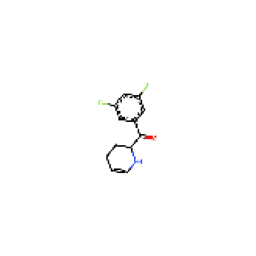 O=C(c1cc(F)cc(F)c1)C1CCC=CN1